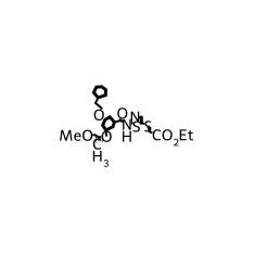 CCOC(=O)CSc1cnc(NC(=O)c2cc(OCCc3ccccc3)cc(O[C@@H](C)COC)c2)s1